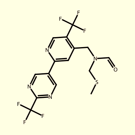 CSCN(C=O)Cc1cc(-c2cnc(C(F)(F)F)nc2)ncc1C(F)(F)F